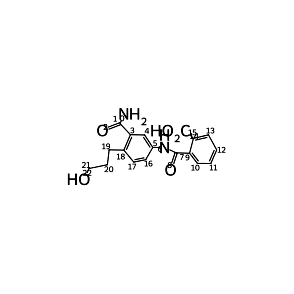 NC(=O)c1cc(NC(=O)c2ccccc2C(=O)O)ccc1CCCO